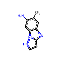 Nc1cc2c(cc1C(F)(F)F)nc1cc[nH]n12